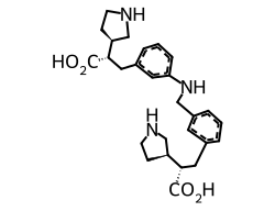 O=C(O)[C@@H](Cc1cccc(CNc2cccc(C[C@H](C(=O)O)[C@H]3CCNC3)c2)c1)[C@H]1CCNC1